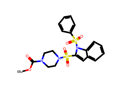 CC(C)(C)OC(=O)N1CCN(S(=O)(=O)c2cc3ccccc3n2S(=O)(=O)c2ccccc2)CC1